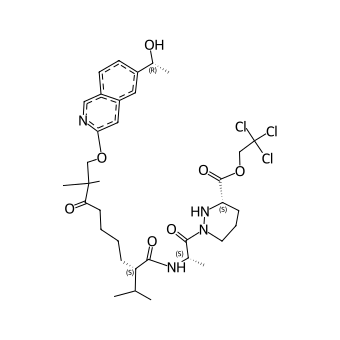 CC(C)[C@H](CCCCC(=O)C(C)(C)COc1cc2cc([C@@H](C)O)ccc2cn1)C(=O)N[C@@H](C)C(=O)N1CCC[C@@H](C(=O)OCC(Cl)(Cl)Cl)N1